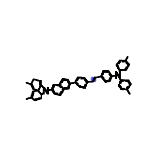 CC1=CC23C=C(C)CC=C2N(c2ccc4cc(-c5ccc(/C=C/c6ccc(N(c7ccc(C)cc7)c7ccc(C)cc7)cc6)cc5)ccc4c2)C3C=C1